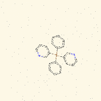 c1ccc(S(c2ccccc2)(c2cccnc2)c2cccnc2)cc1